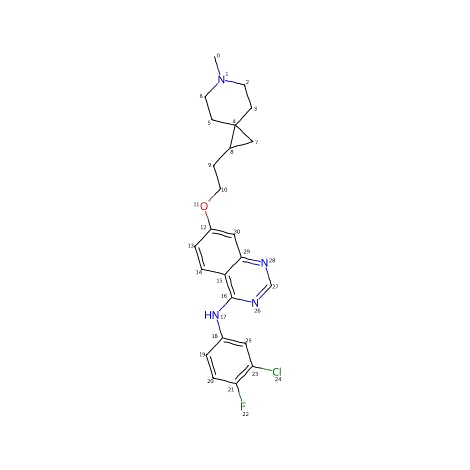 CN1CCC2(CC1)CC2CCOc1ccc2c(Nc3ccc(F)c(Cl)c3)ncnc2c1